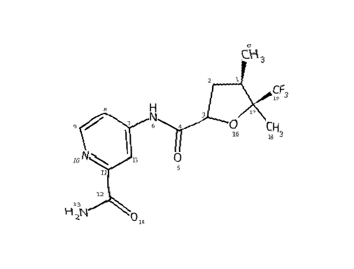 C[C@@H]1CC(C(=O)Nc2ccnc(C(N)=O)c2)O[C@]1(C)C(F)(F)F